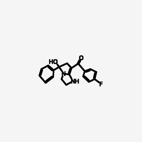 O=C(C1=C2NCCN2C(O)(c2ccccc2)C1)c1ccc(F)cc1